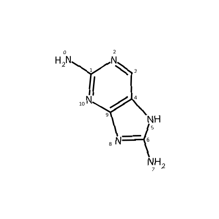 Nc1ncc2[nH]c(N)nc2n1